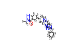 CC(C)NC(=O)c1cccc(C2CCN(Cc3cn(Cc4ccccc4)nn3)CC2)c1